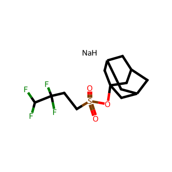 O=S(=O)(CCC(F)(F)C(F)F)OC12CC3CC(CC(C3)C1)C2.[NaH]